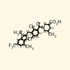 Cc1cc(C(F)(F)F)cc2c1nc(Cc1c(Cl)ccc(C(=O)N3CC(C)CC(C(=O)O)C3)c1Cl)n2C